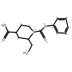 CCC1CC(C(=O)O)CCN1C(=O)Oc1ccccc1